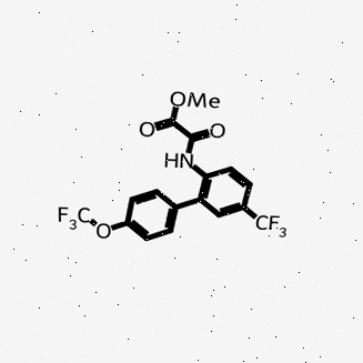 COC(=O)C(=O)Nc1ccc(C(F)(F)F)cc1-c1ccc(OC(F)(F)F)cc1